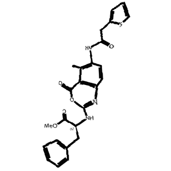 COC(=O)[C@H](Cc1ccccc1)Nc1nc2ccc(NC(=O)Cc3cccs3)c(C)c2c(=O)o1